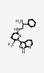 NC(CNc1ccc(C(F)(F)F)c(-c2n[nH]c3ncccc23)n1)c1ccccc1